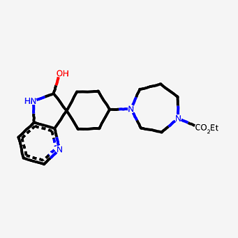 CCOC(=O)N1CCCN(C2CCC3(CC2)c2ncccc2NC3O)CC1